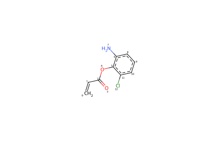 C=CC(=O)Oc1c(N)cccc1Cl